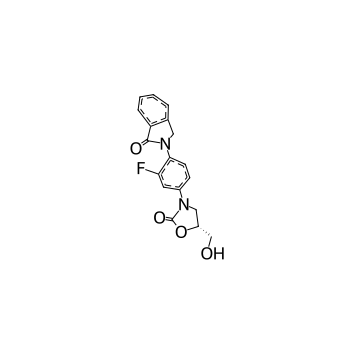 O=C1O[C@@H](CO)CN1c1ccc(N2Cc3ccccc3C2=O)c(F)c1